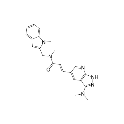 CN(Cc1cc2ccccc2n1C)C(=O)/C=C/c1cnc2[nH]nc(N(C)C)c2c1